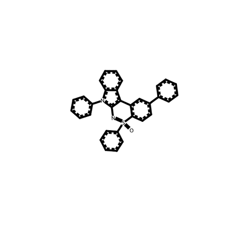 O=S1(c2ccccc2)=Nc2c(c3ccccc3n2-c2ccccc2)-c2cc(-c3ccccc3)ccc21